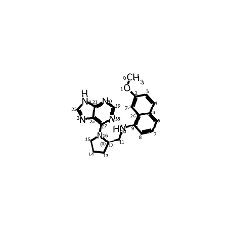 COc1ccc2cccc(NC[C@H]3CCCN3c3ncnc4[nH]cnc34)c2c1